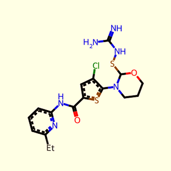 CCc1cccc(NC(=O)c2cc(Cl)c(N3CCCOC3SNC(=N)N)s2)n1